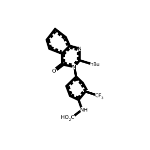 CCCCc1nc2ccccc2c(=O)n1-c1ccc(NC(=O)O)c(C(F)(F)F)c1